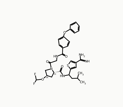 CC(C)CC(NC(=O)[C@@H]1C[C@@H](OC(F)F)CN1C(=O)CNC(=O)c1ccc(Oc2ccccc2)cc1)c1cc(C(=N)N)cs1